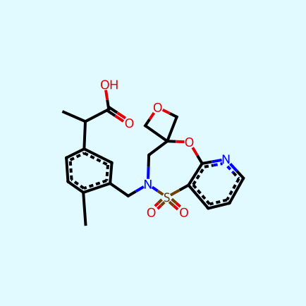 Cc1ccc(C(C)C(=O)O)cc1CN1CC2(COC2)Oc2ncccc2S1(=O)=O